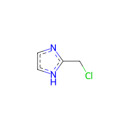 ClCc1ncc[nH]1